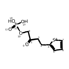 O=C(CCc1cccs1)COP(=O)(O)O